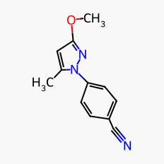 COc1cc(C)n(-c2ccc(C#N)cc2)n1